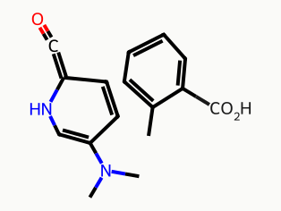 CN(C)C1=CNC(=C=O)C=C1.Cc1ccccc1C(=O)O